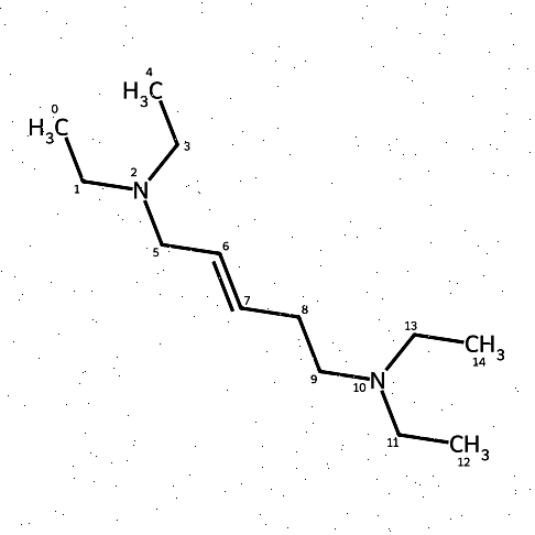 CCN(CC)C/C=C/CCN(CC)CC